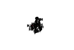 CC(OCc1ccccc1)[C@H](NC(=O)[C@H](CCCC(=O)O)NC(=O)[C@@H]1Cc2cc(F)ccc2N1)C(=O)N[C@@H](CCN)C(=O)N[C@@H](CC(=O)O)C(=O)COc1c(F)c(F)cc(F)c1F